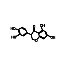 O=C1c2c(O)cc(O)cc2OCC1c1ccc(O)c(O)c1